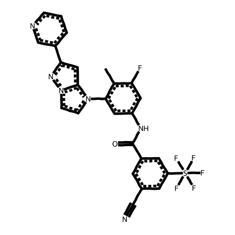 Cc1c(F)cc(NC(=O)c2cc(C#N)cc(S(F)(F)(F)(F)F)c2)cc1-n1ccn2nc(-c3cccnc3)cc12